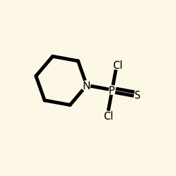 S=P(Cl)(Cl)N1CCCCC1